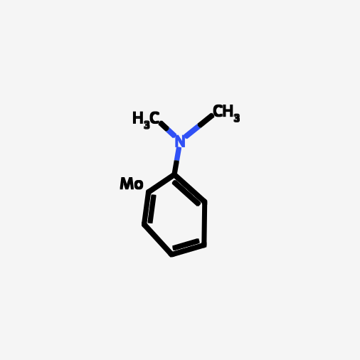 CN(C)c1ccccc1.[Mo]